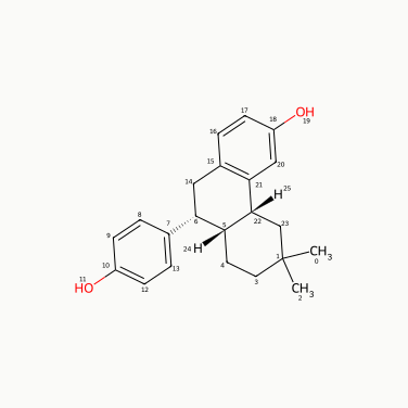 CC1(C)CC[C@@H]2[C@H](c3ccc(O)cc3)Cc3ccc(O)cc3[C@@H]2C1